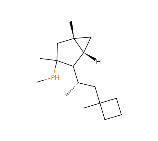 CPC1(C)C[C@]2(C)C[C@@H]2C1[C@@H](C)CC1(C)CCC1